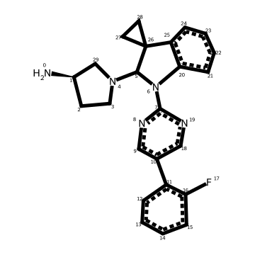 N[C@@H]1CCN(C2N(c3ncc(-c4ccccc4F)cn3)c3c[c]ccc3C23CC3)C1